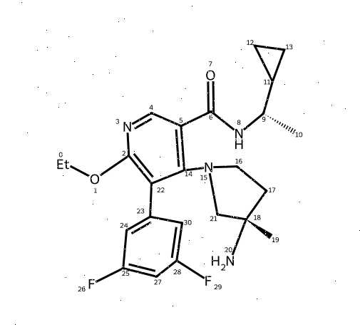 CCOc1ncc(C(=O)N[C@@H](C)C2CC2)c(N2CC[C@](C)(N)C2)c1-c1cc(F)cc(F)c1